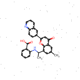 Cc1cc(C(C)Nc2ccccc2C(=O)O)c2oc(-c3ccc4ncccc4c3)cc(=O)c2c1